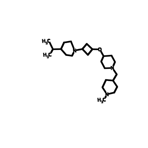 CC(C)C1CCN(C2CC(OC3CCN(CC4CCN(C)CC4)CC3)C2)CC1